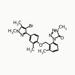 Cc1cc(-c2nn(C)c(C)c2Br)ccc1OCc1c(C)cccc1-n1nnn(C)c1=O